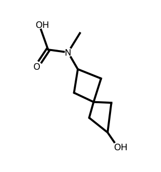 CN(C(=O)O)C1CC2(CC(O)C2)C1